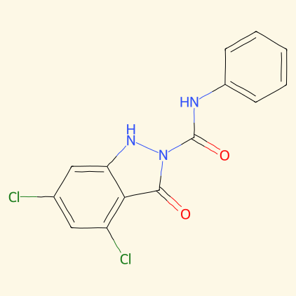 O=C(Nc1ccccc1)n1[nH]c2cc(Cl)cc(Cl)c2c1=O